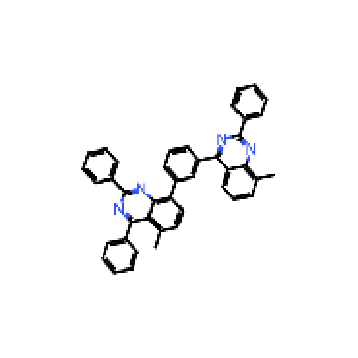 Cc1cccc2c(-c3cccc(-c4ccc(C)c5c(-c6ccccc6)nc(-c6ccccc6)nc45)c3)nc(-c3ccccc3)nc12